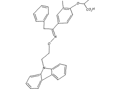 CCC(Oc1ccc(/C(Cc2ccccc2)=N/OCCn2c3ccccc3c3ccccc32)cc1C)C(=O)O